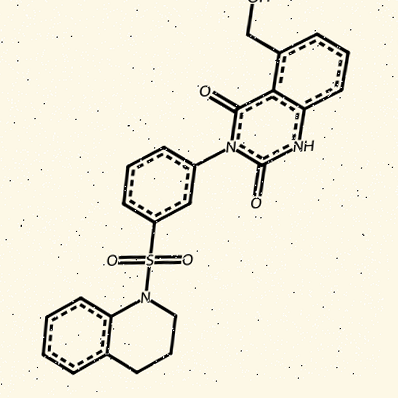 O=c1[nH]c2cccc(CO)c2c(=O)n1-c1cccc(S(=O)(=O)N2CCCc3ccccc32)c1